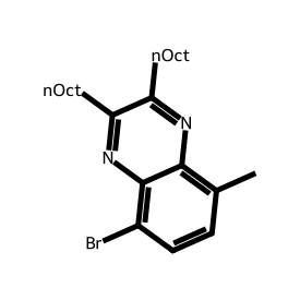 CCCCCCCCc1nc2c(C)ccc(Br)c2nc1CCCCCCCC